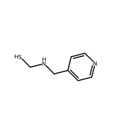 SCNCc1ccncc1